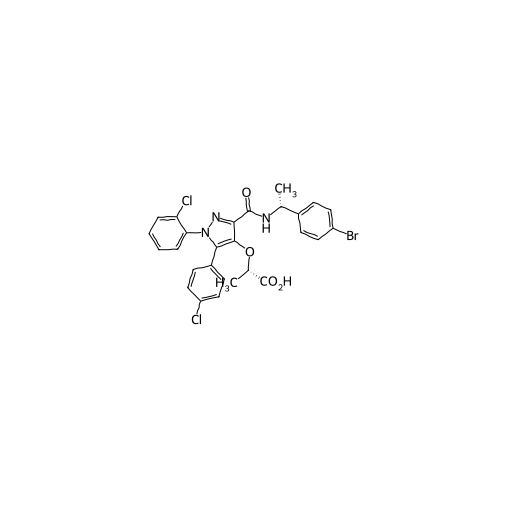 C[C@H](Oc1c(C(=O)N[C@H](C)c2ccc(Br)cc2)nn(-c2ccccc2Cl)c1-c1ccc(Cl)cc1)C(=O)O